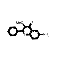 COc1c(-c2ccccc2)oc2ccc(N)cc2c1=O